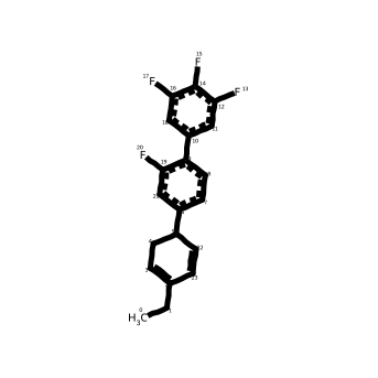 CCC1=CCC(c2ccc(-c3cc(F)c(F)c(F)c3)c(F)c2)C=C1